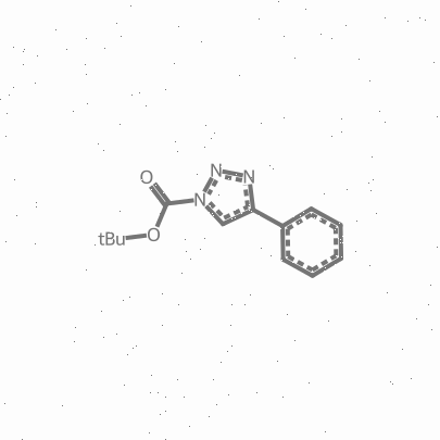 CC(C)(C)OC(=O)n1cc(-c2ccccc2)nn1